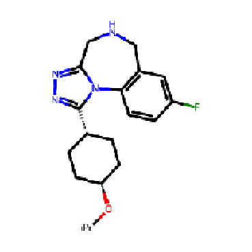 CC(C)O[C@H]1CC[C@H](c2nnc3n2-c2ccc(F)cc2CNC3)CC1